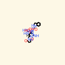 N=C1N[C@H]2C(CN3C(=O)CCC3=O)NC(=N)N3CC(NC(=O)N4CCc5ccccc54)C(O)(O)[C@]23N1